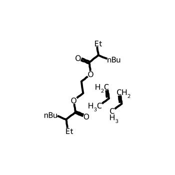 C=CC.C=CC.CCCCC(CC)C(=O)OCCOC(=O)C(CC)CCCC